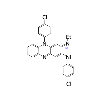 CC/N=c1\cc2n(-c3ccc(Cl)cc3)c3ccccc3nc-2cc1Nc1ccc(Cl)cc1